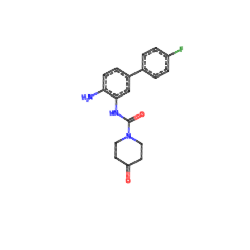 Nc1ccc(-c2ccc(F)cc2)cc1NC(=O)N1CCC(=O)CC1